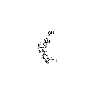 OCCn1cc(-c2cnc3nnn(Cc4ccn5ncc(CO)c5c4)c3n2)cn1